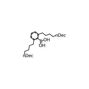 CCCCCCCCCCCCCCc1cccc(CCCCCCCCCCCCCC)c1B(O)O